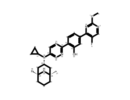 COc1ncc(F)c(-c2ccc(-c3ncc(N(C4CC4)[C@H]4C[C@@H]5CCC[C@](C)(C4)N5)nn3)c(O)c2)n1